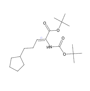 CC(C)(C)OC(=O)N/C(=C\CCC1CCCC1)C(=O)OC(C)(C)C